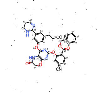 CCOC(=O)CCc1cc(Oc2nc(Oc3cc(C#N)ccc3C(=O)OCc3ccccc3)nc3c2NC(=O)CO3)cc(C2N=CCCN2)c1